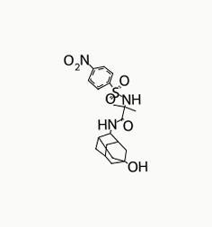 CC(C)(NS(=O)(=O)c1ccc([N+](=O)[O-])cc1)C(=O)NC1C2CC3CC1CC(O)(C3)C2